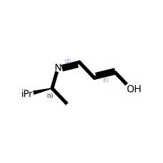 CC(C)[C@H](C)/N=C\C=C\O